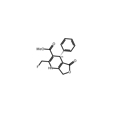 COC(=O)C1=C(CF)NC2=C(C(=O)OC2)[C@H]1c1ccccc1